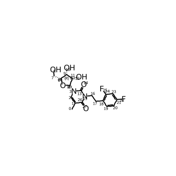 Cc1cn([C@@H]2O[C@H](CO)[C@H](O)[C@@H]2O)c(=O)n(CCc2ccc(F)cc2F)c1=O